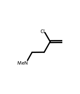 C=C(Cl)CCNC